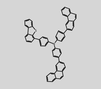 c1ccc2c(c1)ccc1ccc(-c3ccc(N(c4ccc(-c5ccc6ccc7ccccc7c6c5)cc4)c4ccc(-c5cccc6c5sc5ccccc56)cc4)cc3)cc12